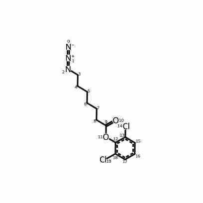 [N-]=[N+]=NCCCCCCC(=O)Oc1c(Cl)cccc1Cl